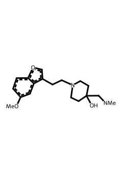 CNCC1(O)CCN(CCc2coc3ccc(OC)cc23)CC1